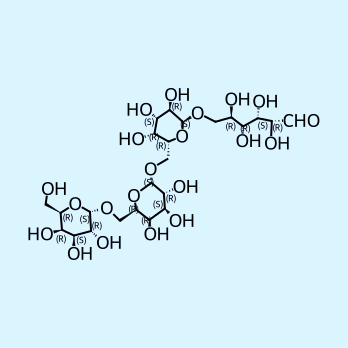 O=C[C@H](O)[C@@H](O)[C@H](O)[C@H](O)CO[C@H]1O[C@H](CO[C@H]2O[C@H](CO[C@H]3O[C@H](CO)[C@H](O)[C@H](O)[C@H]3O)[C@H](O)[C@H](O)[C@H]2O)[C@H](O)[C@H](O)[C@H]1O